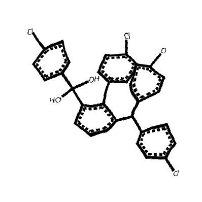 OC(O)(c1ccc(Cl)cc1)c1cccc(C(c2ccc(Cl)cc2)c2ccc(Cl)cc2)c1-c1ccc(Cl)cc1